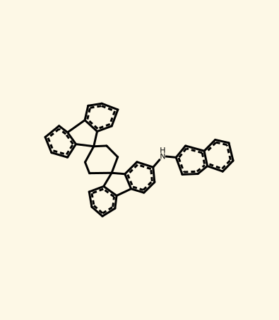 c1ccc2c(c1)-c1ccccc1C21CCC2(CC1)c1ccccc1-c1ccc(Nc3ccc4ccccc4c3)cc12